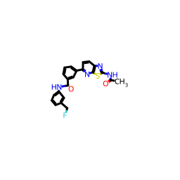 CC(=O)Nc1nc2ccc(-c3cccc(C(=O)Nc4cccc(CF)c4)c3)nc2s1